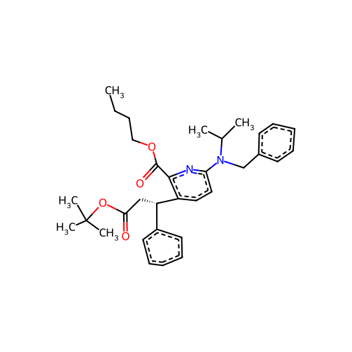 CCCCOC(=O)c1nc(N(Cc2ccccc2)C(C)C)ccc1[C@@H](CC(=O)OC(C)(C)C)c1ccccc1